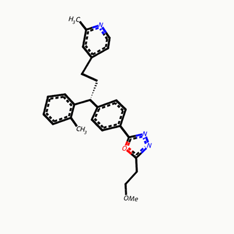 COCCc1nnc(-c2ccc([C@@H](CCc3ccnc(C)c3)c3ccccc3C)cc2)o1